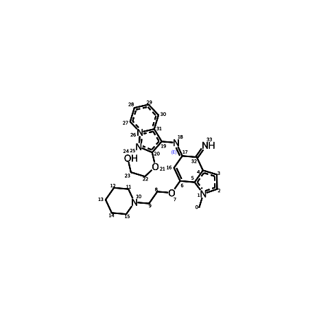 Cn1ccc2c1C(OCCN1CCCCC1)=C/C(=N\c1c(OCCO)nn3ccccc13)C2=N